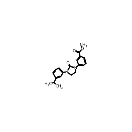 COC(=O)c1cccc(N2CCN(c3cccc(C(C)C)c3)C2=O)c1